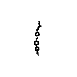 N#CC(F)=CC=C[C@H]1CC[C@H](CC[C@H]2CC[C@H](c3ccc(C#N)cc3)CC2)CC1